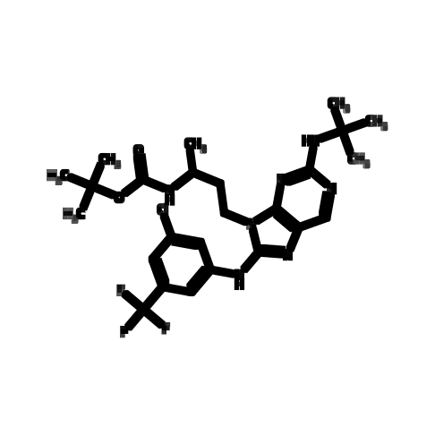 CC(CCn1c(Nc2cc(Cl)cc(C(F)(F)F)c2)nc2cnc(NC(C)(C)C)nc21)NC(=O)OC(C)(C)C